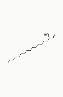 C=CC(O)CCCCCCCCCCCCCCC